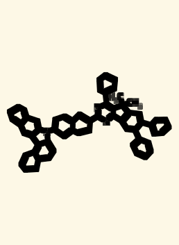 CC1(C)c2cc(-c3ccccc3)c(-c3ccccc3)cc2-c2nc(-c3ccc4cc(-n5c6cc7ccccc7cc6c6c7ccccc7ccc65)ccc4c3)nc(-c3ccccc3)c21